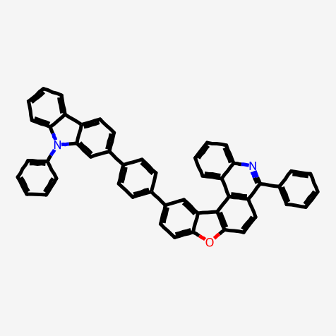 c1ccc(-c2nc3ccccc3c3c2ccc2oc4ccc(-c5ccc(-c6ccc7c8ccccc8n(-c8ccccc8)c7c6)cc5)cc4c23)cc1